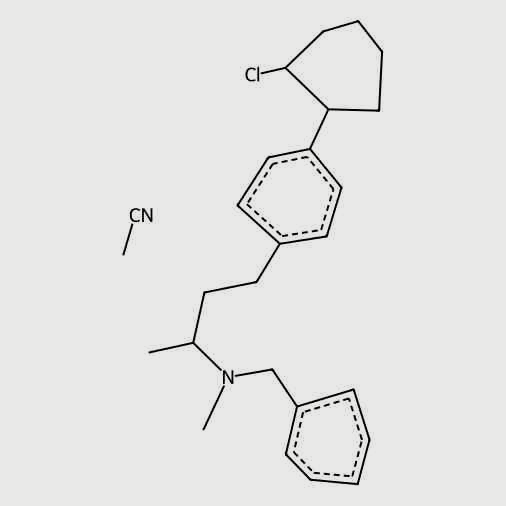 CC#N.CC(CCc1ccc(C2CCCCC2Cl)cc1)N(C)Cc1ccccc1